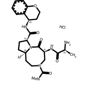 CNC(=O)N1CC[C@H]2CC[C@@H](C(=O)N[C@@H]3CCOc4ccccc43)N2C(=O)[C@@H](NC(=O)[C@H](C)N)C1.Cl